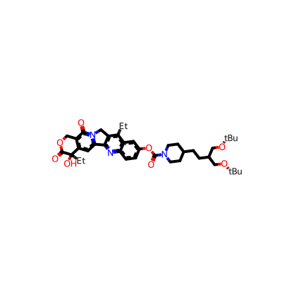 CCc1c2c(nc3ccc(OC(=O)N4CCC(CCC(COC(C)(C)C)COC(C)(C)C)CC4)cc13)-c1cc3c(c(=O)n1C2)COC(=O)C3(O)CC